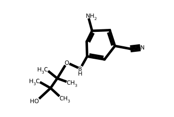 CC(C)(O)C(C)(C)OBc1cc(N)cc(C#N)c1